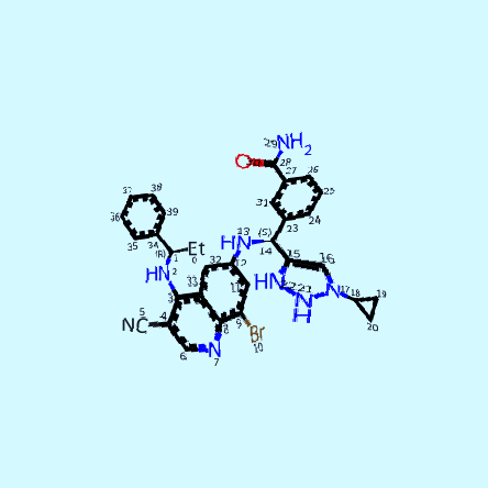 CC[C@@H](Nc1c(C#N)cnc2c(Br)cc(N[C@H](C3=CN(C4CC4)NN3)c3cccc(C(N)=O)c3)cc12)c1ccccc1